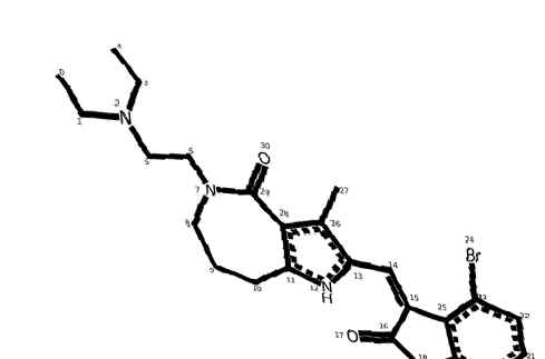 CCN(CC)CCN1CCCc2[nH]c(C=C3C(=O)Nc4cccc(Br)c43)c(C)c2C1=O